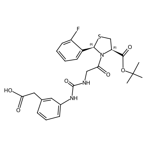 CC(C)(C)OC(=O)[C@@H]1CS[C@H](c2ccccc2F)N1C(=O)CNC(=O)Nc1cccc(CC(=O)O)c1